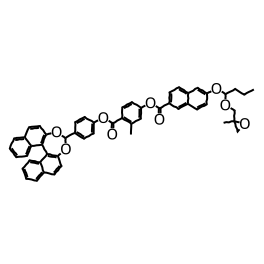 CCCC(OCC1(C)CO1)Oc1ccc2cc(C(=O)Oc3ccc(C(=O)Oc4ccc(C5Oc6ccc7ccccc7c6-c6c(ccc7ccccc67)O5)cc4)c(C)c3)ccc2c1